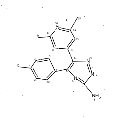 Cc1ccc(-c2nc(N)nnc2-c2cc(C)nc(C)c2)cc1